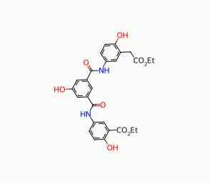 CCOC(=O)Cc1cc(NC(=O)c2cc(O)cc(C(=O)Nc3ccc(O)c(C(=O)OCC)c3)c2)ccc1O